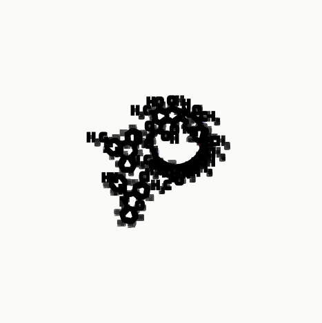 CN1CCN2c3ccccc3Cc3ccccc3C2C1.CO[C@H]1/C=C/O[C@@]2(C)Oc3c(C)c(O)c4c(O)c(c(/C=N/N5CCN(C)CC5)c(O)c4c3C2=O)NC(=O)/C(C)=C\C=C\[C@H](C)[C@H](O)[C@@H](C)[C@@H](O)[C@@H](C)[C@H](OC(C)=O)[C@@H]1C.Clc1ccc2c(c1)C(N1CCNCC1)=Nc1ccccc1O2